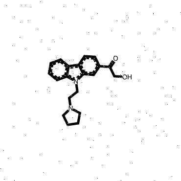 O=C(CO)c1ccc2c3ccccc3n(CCN3CCCC3)c2c1